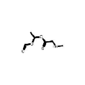 CNCC(=O)OC(C)OC=O